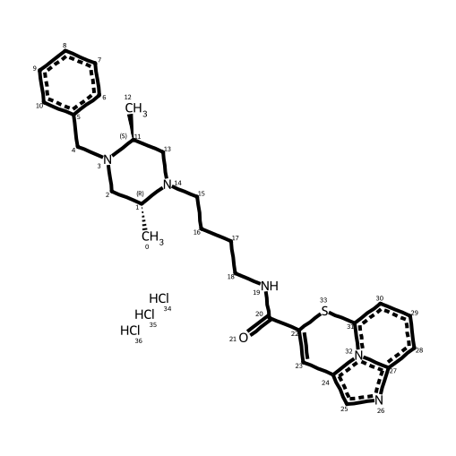 C[C@@H]1CN(Cc2ccccc2)[C@@H](C)CN1CCCCNC(=O)C1=Cc2cnc3cccc(n23)S1.Cl.Cl.Cl